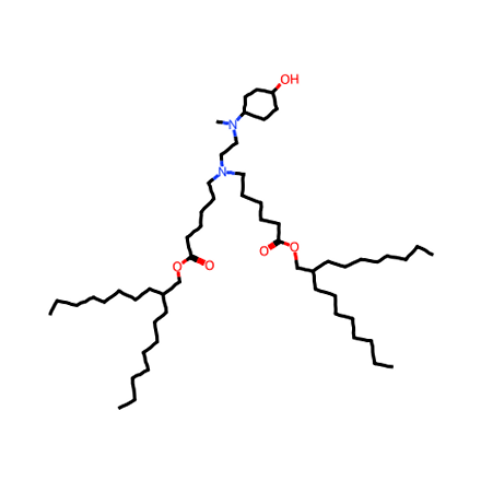 CCCCCCCCC(CCCCCCCC)COC(=O)CCCCCN(CCCCCC(=O)OCC(CCCCCCCC)CCCCCCCC)CCN(C)C1CCC(O)CC1